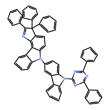 c1ccc(C2=Nc3c(ccc4c3c3ccccc3n4-c3ccc4c(c3)c3ccccc3n4-c3nc(-c4ccccc4)nc(-c4ccccc4)n3)C2(c2ccccc2)c2ccccc2)cc1